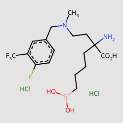 CN(CCC(N)(CCCCB(O)O)C(=O)O)Cc1ccc(F)c(C(F)(F)F)c1.Cl.Cl